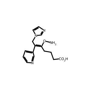 NO/C(CCCC(=O)O)=C(\Cn1ccnc1)c1cccnc1